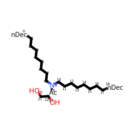 CCCCCCCCCCCCCCCCCCN(CCCCCCCCCCCCCCCCCC)C(C)=O.OCCO